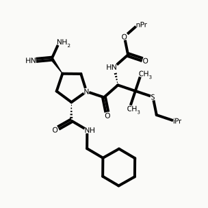 CCCOC(=O)N[C@@H](C(=O)N1C[C@H](C(=N)N)C[C@H]1C(=O)NCC1CCCCC1)C(C)(C)SCC(C)C